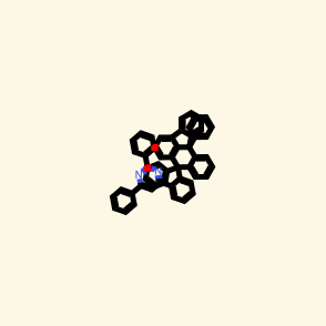 c1ccc(-c2cc(-c3ccccc3C3(c4ccccc4)c4ccccc4C4(c5ccccc5)c5ccccc5-c5cccc3c54)nc(-c3ccccc3)n2)cc1